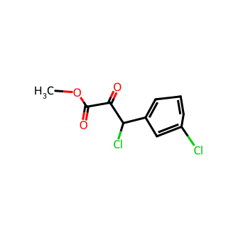 COC(=O)C(=O)C(Cl)c1cccc(Cl)c1